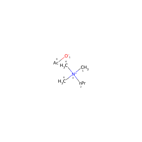 CC(=O)[O-].CCC[N+](C)(C)C